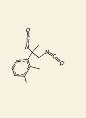 Cc1cccc(C(C)(CN=C=O)N=C=O)c1C